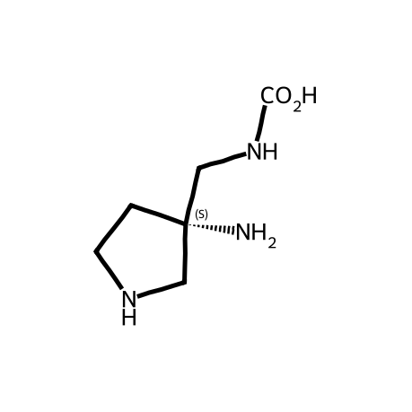 N[C@@]1(CNC(=O)O)CCNC1